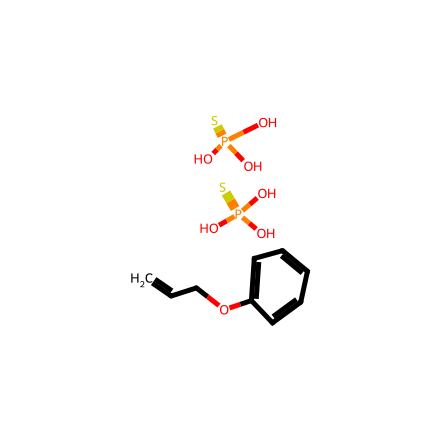 C=CCOc1ccccc1.OP(O)(O)=S.OP(O)(O)=S